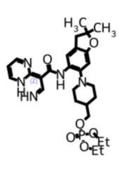 CCOP(=O)(OCC)OCC1CCN(c2cc3c(cc2NC(=O)/C(C=N)=C2\N=CC=CN2)CC(C)(C)O3)CC1